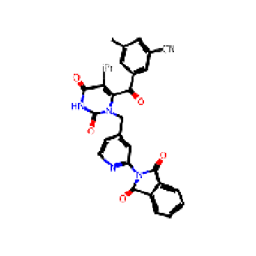 Cc1cc(C#N)cc(C(=O)c2c(C(C)C)c(=O)[nH]c(=O)n2Cc2ccnc(N3C(=O)c4ccccc4C3=O)c2)c1